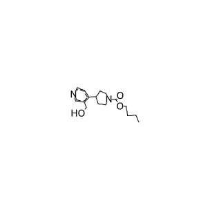 CCCCOC(=O)N1CCC(c2ccncc2CO)CC1